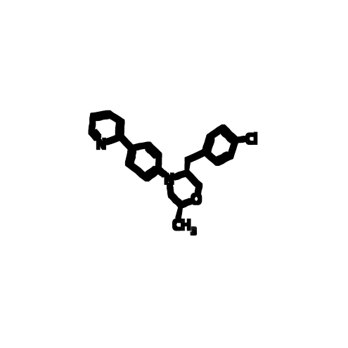 C[C@H]1CN(c2ccc(-c3ccccn3)cc2)[C@@H](Cc2ccc(Cl)cc2)CO1